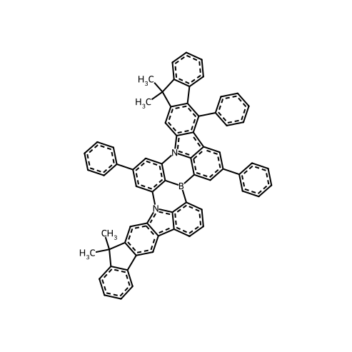 CC1(C)c2ccccc2-c2cc3c4cccc5c4n(c3cc21)-c1cc(-c2ccccc2)cc2c1B5c1cc(-c3ccccc3)cc3c4c(-c5ccccc5)c5c(cc4n-2c13)C(C)(C)c1ccccc1-5